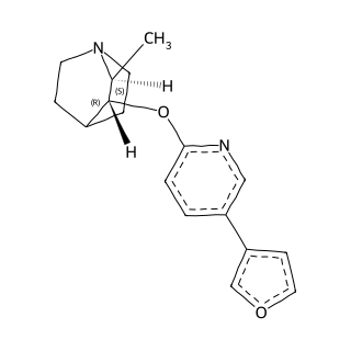 C[C@H]1[C@H](Oc2ccc(-c3ccoc3)cn2)C2CCN1CC2